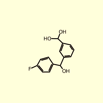 OC(O)c1cccc(C(O)c2ccc(F)cc2)c1